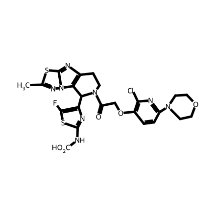 Cc1nn2c3c(nc2s1)CCN(C(=O)COc1ccc(N2CCOCC2)nc1Cl)C3c1nc(NC(=O)O)sc1F